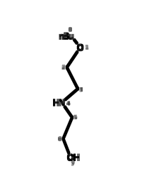 CCCCOCCNCCO